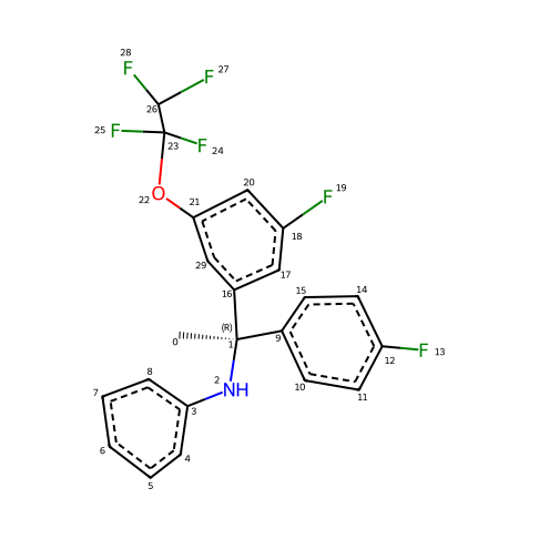 C[C@@](Nc1ccccc1)(c1ccc(F)cc1)c1cc(F)cc(OC(F)(F)C(F)F)c1